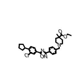 CCOC(=O)C1(C)CCN(Cc2ccc(-c3noc(-c4ccc(C5CCCC5)c(Cl)c4)n3)cc2)CC1